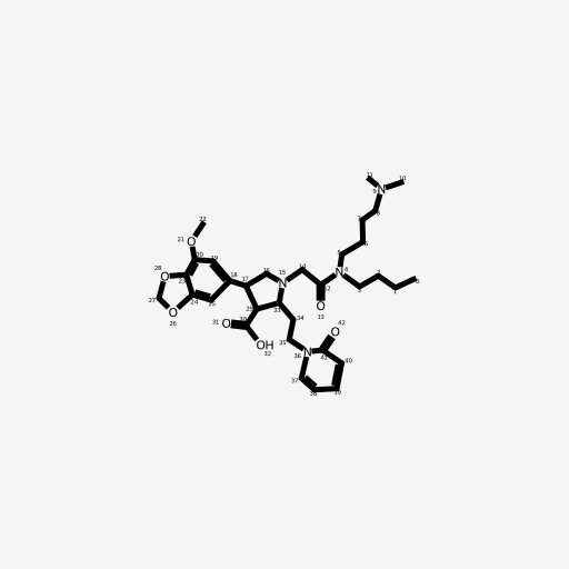 CCCCN(CCCCN(C)C)C(=O)CN1CC(c2cc(OC)c3c(c2)OCO3)C(C(=O)O)C1CCn1ccccc1=O